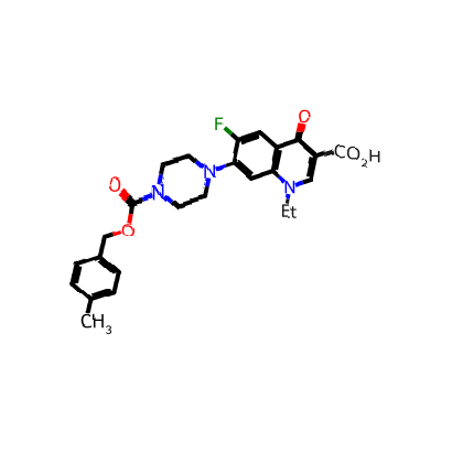 CCn1cc(C(=O)O)c(=O)c2cc(F)c(N3CCN(C(=O)OCc4ccc(C)cc4)CC3)cc21